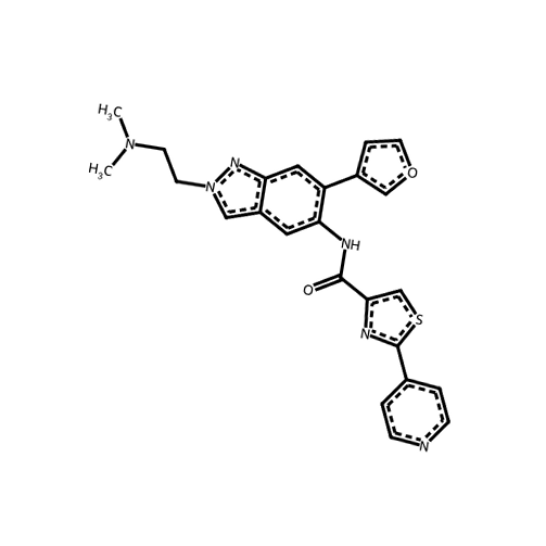 CN(C)CCn1cc2cc(NC(=O)c3csc(-c4ccncc4)n3)c(-c3ccoc3)cc2n1